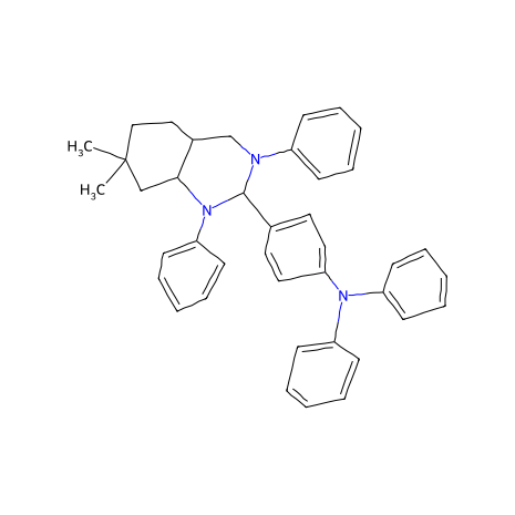 CC1(C)CCC2CN(c3ccccc3)C(c3ccc(N(c4ccccc4)c4ccccc4)cc3)N(c3ccccc3)C2C1